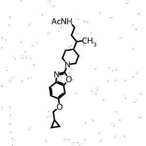 CC(=O)NCCC(C)C1CCN(c2nc3ccc(OCC4CC4)cc3o2)CC1